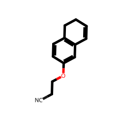 N#CCCOc1ccc2c(c1)C=CCC2